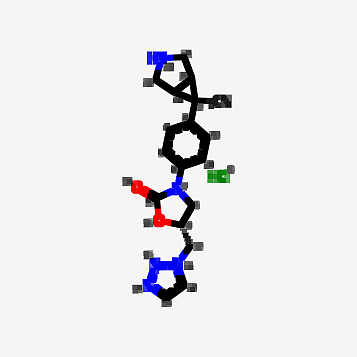 Cl.N#CC1(c2ccc(N3C[C@H](Cn4ccnn4)OC3=O)cc2)C2CNCC21